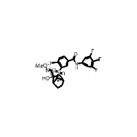 CO/N=C/[C@@]1(O)CC2CCC1[C@@H]2S(=O)(=O)c1cc(C(=O)Nc2cc(F)c(F)c(F)c2)ccc1Cl